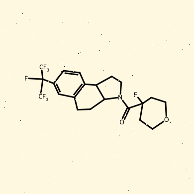 O=C(N1CCC2c3ccc(C(F)(C(F)(F)F)C(F)(F)F)cc3CCC21)C1(F)CCOCC1